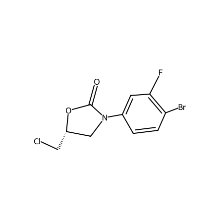 O=C1O[C@@H](CCl)CN1c1ccc(Br)c(F)c1